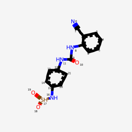 N#Cc1ccccc1NC(=O)Nc1ccc(N[SH](=O)=O)cc1